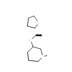 CN1CCCC(NC(=O)[C@@H]2C[C@H](O)CN2)C1